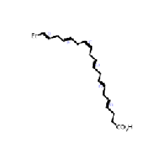 CC/C=C/C/C=C/C/C=C\C/C=C/C/C=C/C/C=C/CCC(=O)O